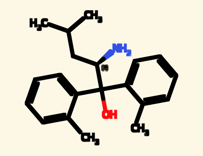 Cc1ccccc1C(O)(c1ccccc1C)[C@H](N)CC(C)C